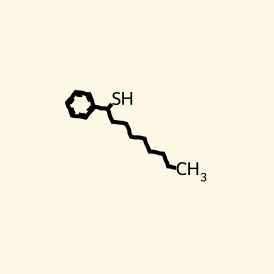 CCCCCCCCC(S)c1ccccc1